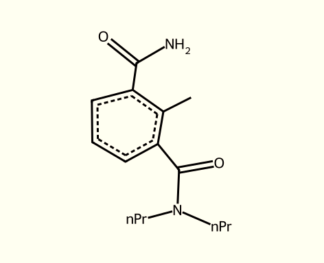 CCCN(CCC)C(=O)c1cccc(C(N)=O)c1C